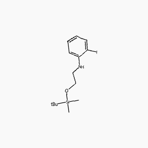 CC(C)(C)[Si](C)(C)OCCNc1ccccc1I